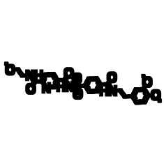 COCCNC(=O)c1ccc(C(=O)NS(=O)(=O)c2ccc(C(=O)NCCc3ccc(OC)c(OC)c3)cc2)cn1